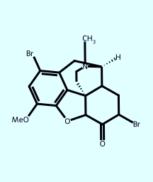 COc1cc(Br)c2c3c1OC1C(=O)C(Br)CC4[C@H](C2)N(C)CC[C@@]314